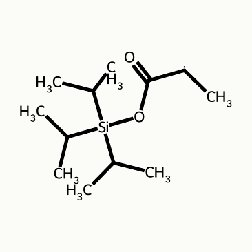 C[CH]C(=O)O[Si](C(C)C)(C(C)C)C(C)C